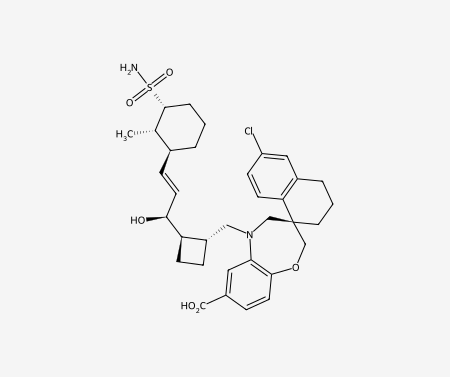 C[C@H]1[C@H](/C=C/[C@H](O)[C@@H]2CC[C@H]2CN2C[C@@]3(CCCc4cc(Cl)ccc43)COc3ccc(C(=O)O)cc32)CCC[C@H]1S(N)(=O)=O